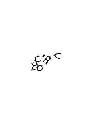 CO[C@@H]1COCC[C@@H]1NC1=CC2=C[N+](C3C=CCCC3)=C[C@@]2(C(=O)N2CCc3ncc(C(F)(F)F)cc3C2)C1